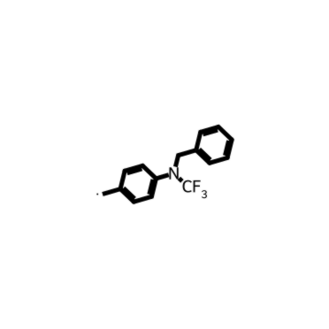 [CH2]c1ccc(N(Cc2ccccc2)C(F)(F)F)cc1